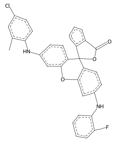 Cc1cc(Cl)ccc1Nc1ccc2c(c1)Oc1cc(Nc3ccccc3F)ccc1C21OC(=O)c2ccccc21